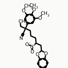 CCC(C#N)(CCCC(CC1Oc2ccccc2O1)[N+](=O)[O-])c1cc(OC)c(OC)c(OC)c1